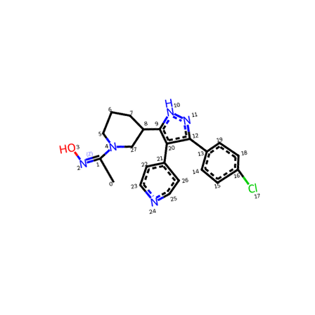 C/C(=N/O)N1CCCC(c2[nH]nc(-c3ccc(Cl)cc3)c2-c2ccncc2)C1